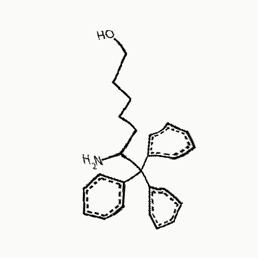 NC(CCCCCO)C(c1ccccc1)(c1ccccc1)c1ccccc1